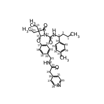 CCCC(NC(=O)N1C(=O)C(CC)(CC)[C@@H]1Oc1ccc(CNC(=O)Cc2ccncc2)cc1)c1ccc(C)cc1